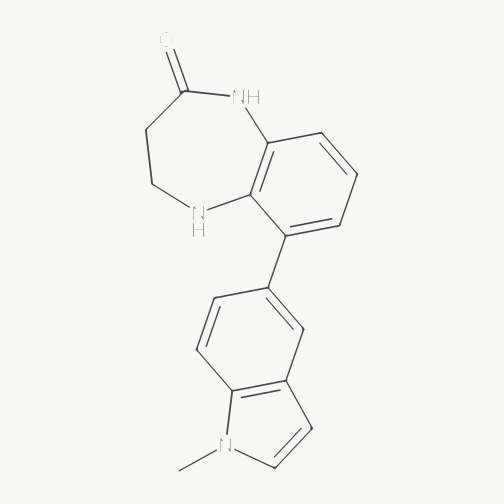 Cn1ccc2cc(-c3cccc4c3NCCC(=O)N4)ccc21